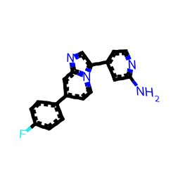 Nc1cc(-c2cnc3cc(-c4ccc(F)cc4)ccn23)ccn1